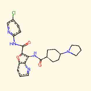 O=C(Nc1ccc(Cl)cn1)c1oc2cccnc2c1NC(=O)C1CCC(N2CCCC2)CC1